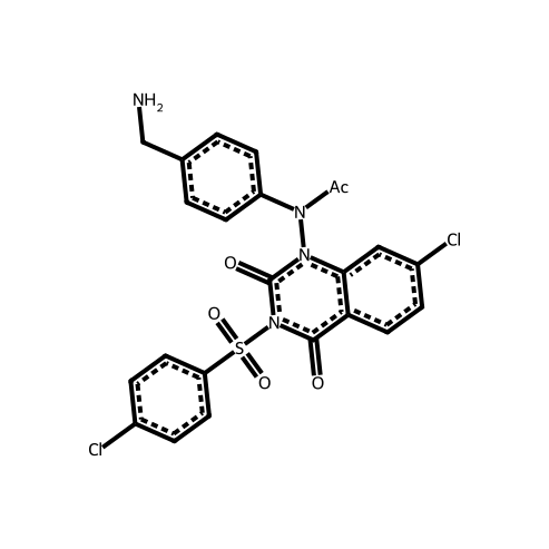 CC(=O)N(c1ccc(CN)cc1)n1c(=O)n(S(=O)(=O)c2ccc(Cl)cc2)c(=O)c2ccc(Cl)cc21